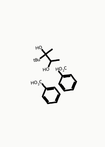 CC(O)C(C)(O)C(C)(C)C.O=C(O)c1ccccc1.O=C(O)c1ccccc1